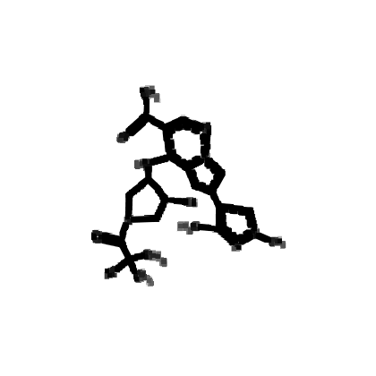 CC[C@H]1CN(C(=O)C(C)(C)C#N)C[C@H]1Nc1c(C(N)=O)cnn2cc(-c3cn(C)nc3C)cc12